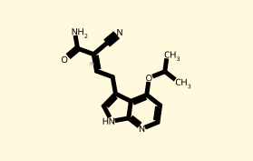 CC(C)Oc1ccnc2[nH]cc(C/C=C(\C#N)C(N)=O)c12